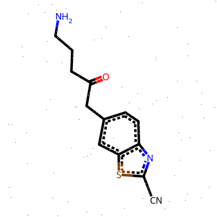 N#Cc1nc2ccc(CC(=O)CCCN)cc2s1